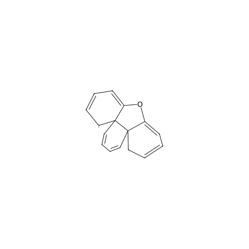 [CH]1C=CC=C2OC3=CC=CCC34C=CC=CC124